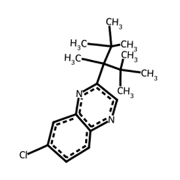 CC(C)(C)C(C)(c1cnc2ccc(Cl)cc2n1)C(C)(C)C